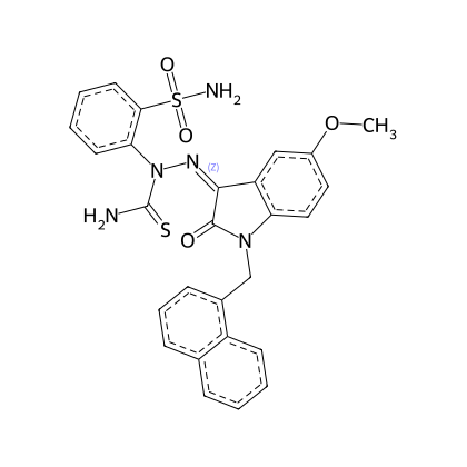 COc1ccc2c(c1)/C(=N/N(C(N)=S)c1ccccc1S(N)(=O)=O)C(=O)N2Cc1cccc2ccccc12